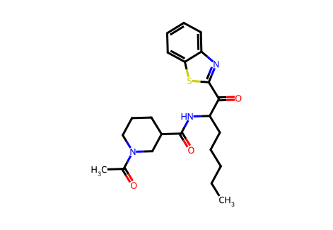 CCCCCC(NC(=O)C1CCCN(C(C)=O)C1)C(=O)c1nc2ccccc2s1